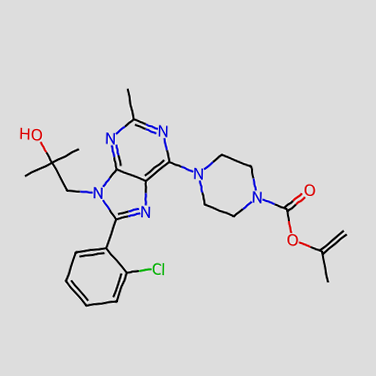 C=C(C)OC(=O)N1CCN(c2nc(C)nc3c2nc(-c2ccccc2Cl)n3CC(C)(C)O)CC1